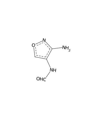 Nc1nocc1NC=O